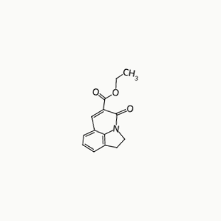 CCOC(=O)c1cc2cccc3c2n(c1=O)CC3